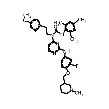 COc1ccc(CCN(C(=O)Oc2c(C)cc(C)cc2C)c2ccnc(Nc3ccc(OCC4CCCN(C)C4)c(F)c3)n2)cc1